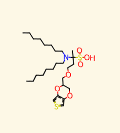 CCCCCCCCN(CCCCCCCC)C(C)(CCOCC1COc2cscc2O1)S(=O)(=O)O